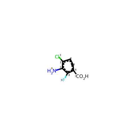 Nc1c(Cl)ccc(C(=O)O)c1F